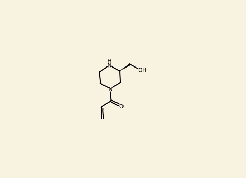 C=CC(=O)N1CCN[C@@H](CO)C1